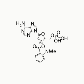 CNc1ccccc1C(=O)O[C@@H]1C[C@H](n2cnc3c(N)ncnc32)OC1COP(=O)(O)O